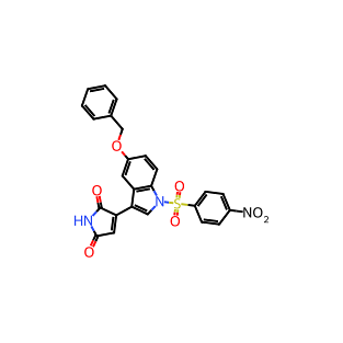 O=C1C=C(c2cn(S(=O)(=O)c3ccc([N+](=O)[O-])cc3)c3ccc(OCc4ccccc4)cc23)C(=O)N1